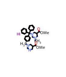 COC(=O)C1CN(C)CN(C(c2ccccc2)(c2ccccc2)c2ccccc2)C1.COC(=O)C1CN=CN(C)C1.I